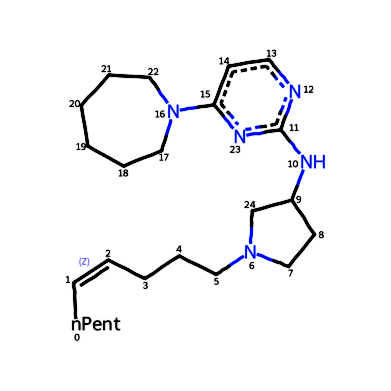 CCCCC/C=C\CCCN1CCC(Nc2nccc(N3CCCCCC3)n2)C1